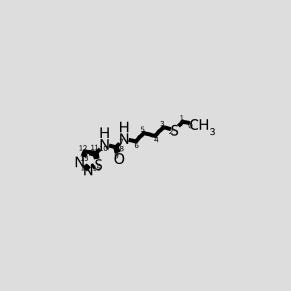 CCSCCCCNC(=O)Nc1cnns1